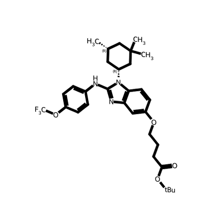 C[C@H]1C[C@@H](n2c(Nc3ccc(OC(F)(F)F)cc3)nc3cc(OCCCC(=O)OC(C)(C)C)ccc32)CC(C)(C)C1